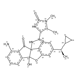 Cc1c(C(=O)NC23C(=O)c4c(N)cccc4C2(O)Oc2cc([C@H](C)C4CC4)ccc23)[nH]c(=O)n1C